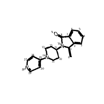 C=C1c2ccccc2C(=O)N1C1CCN(c2ccncc2)CC1